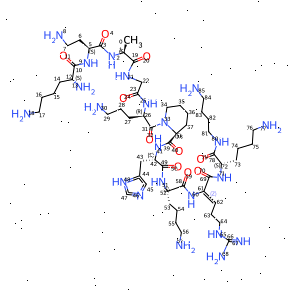 C[C@H](NC(=O)[C@H](CCN)NC(=O)[C@@H](N)CCCCN)C(=O)NCC(=O)N[C@H](CCCN)C(=O)N1CCCC[C@H]1C(=O)N[C@@H](Cc1cnc[nH]1)C(=O)N[C@@H](CCCCN)C(=O)N/C(=C\CCNC(=N)N)C(=O)N[C@@H](CCCCN)C(=O)NCCCCN